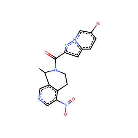 CC1c2cncc([N+](=O)[O-])c2CCN1C(=O)c1cc2ccc(Br)cn2n1